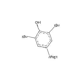 CCCCCCCc1cc(C(C)(C)C)c(O)c(C(C)(C)C)c1